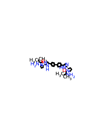 CC(C)[C@@H](N)C(=O)N1CCC[C@H]1c1ncc(-c2ccc(-c3ccc(-c4cnc([C@@H]5CCCN5C(=O)[C@H](N)C(C)C)[nH]4)cc3)cc2)[nH]1